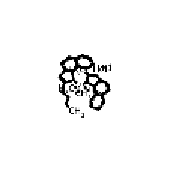 CCCCC1=Cc2ccc3ccccc3c2[CH]1[Zr]([CH3])([CH3])(=[SiH2])[CH]1C(C)=Cc2ccc3ccccc3c21.Cl.Cl